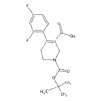 CC(C)(C)OC(=O)N1CCC(c2ccc(F)cc2F)=C(C(=O)O)C1